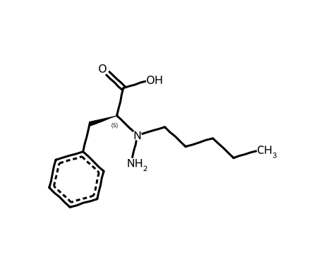 CCCCCN(N)[C@@H](Cc1ccccc1)C(=O)O